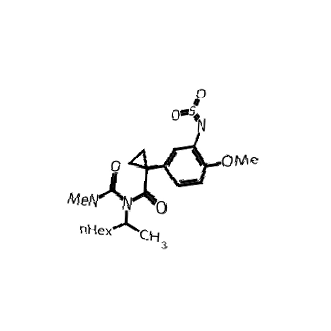 CCCCCCC(C)N(C(=O)NC)C(=O)C1(c2ccc(OC)c(N=S(=O)=O)c2)CC1